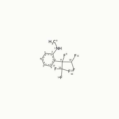 CNc1ccccc1C(F)(C(F)F)C(F)(F)F